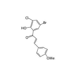 COc1ccc(C=CC(=O)c2cc(Br)cc(Cl)c2O)cc1